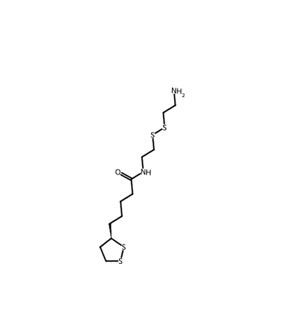 NCCSSCCNC(=O)CCCC[C@@H]1CCSS1